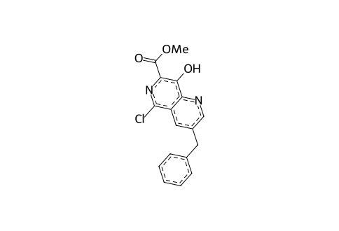 COC(=O)c1nc(Cl)c2cc(Cc3ccccc3)cnc2c1O